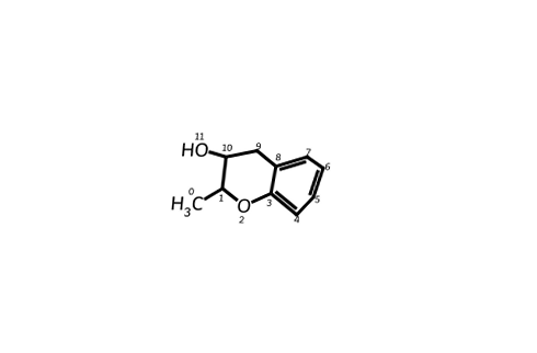 CC1Oc2ccccc2CC1O